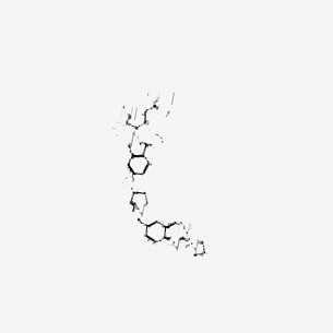 NC(=O)C(CCC(=O)O)N1Cc2cc(O[C@H]3CCN(Cc4ccc5nc(N6CCC6)ncc5c4)C3)ccc2C1=O